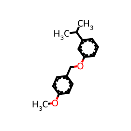 COc1ccc(COc2cccc(C(C)C)c2)cc1